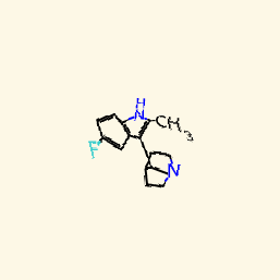 Cc1[nH]c2ccc(F)cc2c1C1CN2CCC1CC2